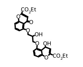 CCOC(=O)C1=CC(O)c2c(OCC(O)COc3cccc4oc(C(=O)OCC)cc(=O)c34)cccc2O1